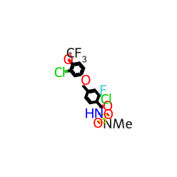 CNS(=O)(=O)NC(=O)C1C=CC(COc2ccc(OC(F)(F)F)c(Cl)c2)=CC1(F)Cl